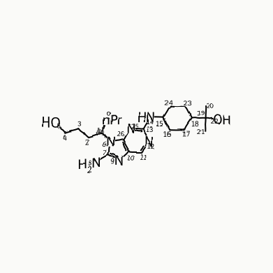 CCC[C@H](CCCO)n1c(N)nc2cnc(NC3CCC(C(C)(C)O)CC3)nc21